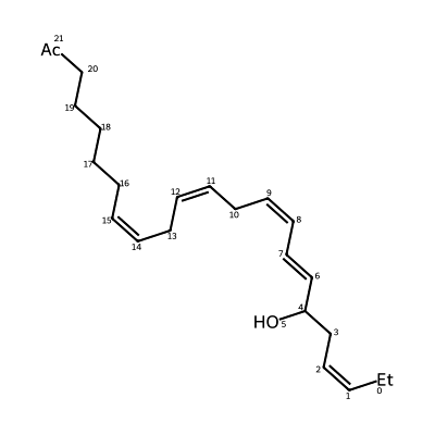 CC/C=C\CC(O)/C=C/C=C\C/C=C\C/C=C\CCCCCC(C)=O